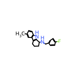 Cc1ccc2[nH]c3c(c2c1)CCCC3NCc1ccc(F)cc1